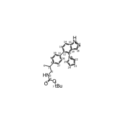 CC(CNC(=O)OC(C)(C)C)c1ccc(-c2ccc3[nH]ncc3c2-n2cccc2)cc1